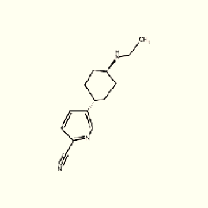 CCN[C@H]1CC[C@H](c2ccc(C#N)nc2)CC1